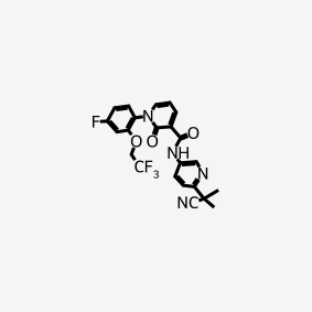 CC(C)(C#N)c1ccc(NC(=O)c2cccn(-c3ccc(F)cc3OCC(F)(F)F)c2=O)cn1